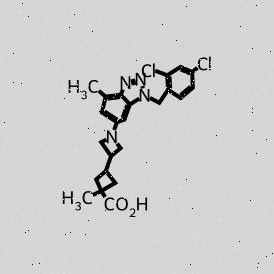 Cc1cc(N2CC(C3CC(C)(C(=O)O)C3)C2)cc2c1nnn2Cc1ccc(Cl)cc1Cl